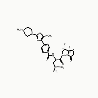 Cc1sc(N2CCN(C)CC2)nc1-c1ccc(C(=O)NC(CC(C)C)C(=O)N2C[C@H](F)[C@H]3OCC(=O)C32)cc1